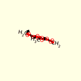 C=CC(=O)OCCCCOc1ccc(C(=O)Oc2ccc(OC(=O)c3ccc(OCCCCOC(=O)C(=C)C4CCC4)cc3)c(C)c2)cc1